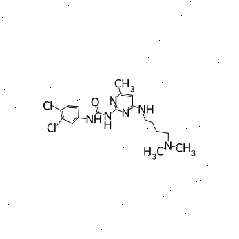 Cc1cc(NCCCCN(C)C)nc(NC(=O)Nc2ccc(Cl)c(Cl)c2)n1